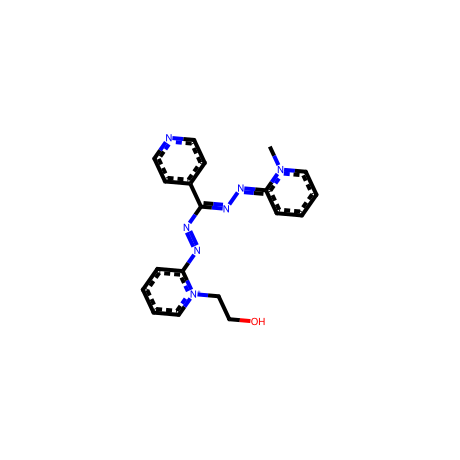 Cn1cccc\c1=N/N=C(/N=N/c1cccc[n+]1CCO)c1ccncc1